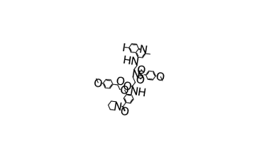 COc1ccc(C(=O)COc2cc(C(=O)N3CCCCC3)ccc2NC(=O)CCN(CCNc2cc(C)nc3ccc(I)cc23)S(=O)(=O)c2ccc(OC)cc2)cc1